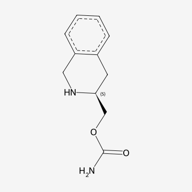 NC(=O)OC[C@@H]1Cc2ccccc2CN1